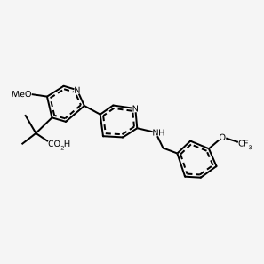 COc1cnc(-c2ccc(NCc3cccc(OC(F)(F)F)c3)nc2)cc1C(C)(C)C(=O)O